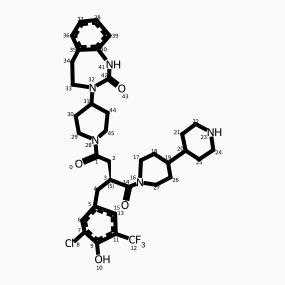 O=C(C[C@H](Cc1cc(Cl)c(O)c(C(F)(F)F)c1)C(=O)N1CCC(C2CCNCC2)CC1)N1CCC(N2CCc3ccccc3NC2=O)CC1